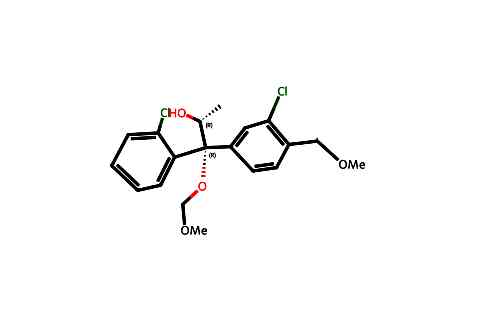 CO[CH]c1ccc([C@@](OCOC)(c2ccccc2Cl)[C@@H](C)O)cc1Cl